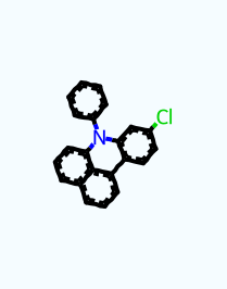 Clc1ccc2c(c1)N(c1ccccc1)c1cccc3cccc-2c13